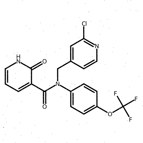 O=C(c1ccc[nH]c1=O)N(Cc1ccnc(Cl)c1)c1ccc(OC(F)(F)F)cc1